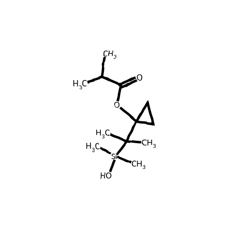 CC(C)C(=O)OC1(C(C)(C)[Si](C)(C)O)CC1